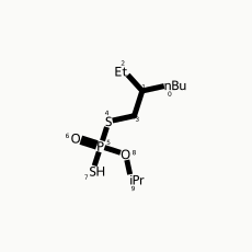 CCCCC(CC)CSP(=O)(S)OC(C)C